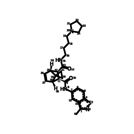 Cc1nsc2ccc(NC(=O)[C@H]3[C@H](C(=O)NCCCCN4CCCC4)[C@H]4C=C[C@@H]3C43CC3)cc12